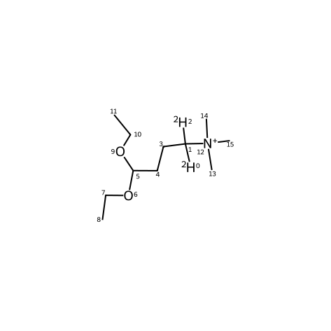 [2H]C([2H])(CCC(OCC)OCC)[N+](C)(C)C